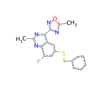 Cc1nc(-c2noc(C)n2)c2cc(SCc3ccccc3)cc(F)c2n1